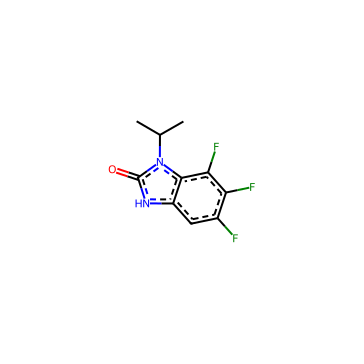 CC(C)n1c(=O)[nH]c2cc(F)c(F)c(F)c21